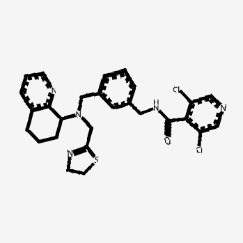 O=C(NCc1cccc(CN(CC2=NCCS2)C2CCCc3cccnc32)c1)c1c(Cl)cncc1Cl